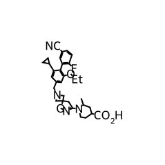 CCOc1cc(CN2CC3(CC(N4CCC(C(=O)O)CC4C)=NO3)C2)cc(C2CC2)c1-c1cc(C#N)ccc1F